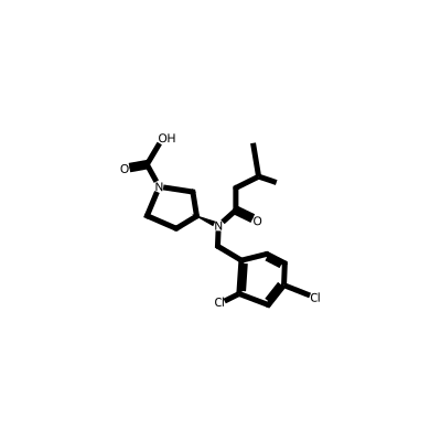 CC(C)CC(=O)N(Cc1ccc(Cl)cc1Cl)[C@H]1CCN(C(=O)O)C1